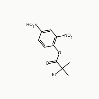 CCC(C)(C)C(=O)Oc1ccc(S(=O)(=O)O)cc1[N+](=O)[O-]